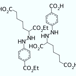 CCOC(=O)c1ccc(NNC(CCCCC(=O)O)C(=O)OCC)cc1.O=C(O)CCCCC(NNc1ccc(C(=O)O)cc1)C(=O)O